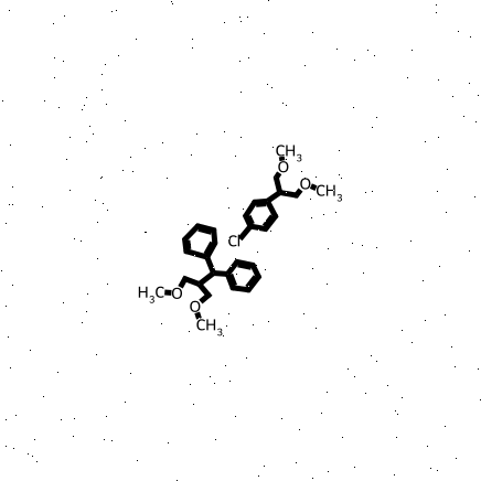 COCC(COC)C(c1ccccc1)c1ccccc1.COCC(COC)c1ccc(Cl)cc1